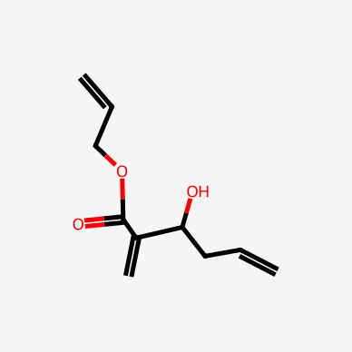 C=CCOC(=O)C(=C)C(O)CC=C